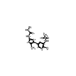 CCNC(=O)Nc1nc(C)c(-c2cnc(Cl)c(NS(C)(=O)=O)c2)s1